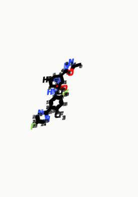 Cc1nnc([C@@]23C[C@@H](C[C@@H](C(F)(F)F)C2)N3C(=O)Nc2cc(-c3ncc(F)cn3)c(C(F)(F)F)cc2F)o1